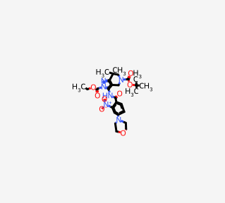 CCOC(=O)n1nc2c(c1NC(=O)c1ccc(N3CCOCC3)cc1[N+](=O)[O-])CN(C(=O)OC(C)(C)C)CC2(C)C